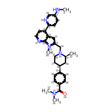 CNc1ccc(-c2ccnc3c2cc(CN2CC[C@H](c4ccc(C(=O)N(C)C)cc4)C[C@@H]2C)n3C)nc1